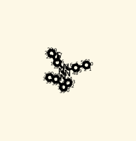 c1ccc(-c2ccc(-c3nc(-c4ccc5c(c4)sc4ccccc45)nc(N4c5cc6ccccc6cc5-c5cccc6cccc4c56)n3)cc2)cc1